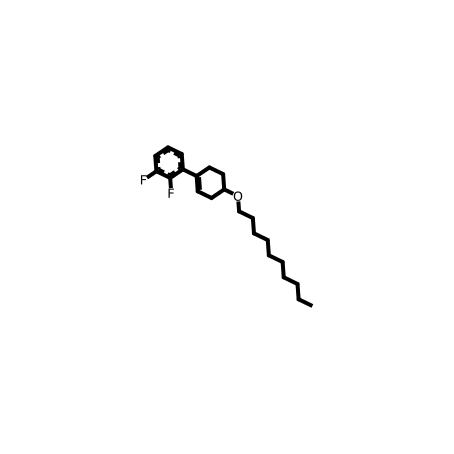 CCCCCCCCCCOC1CC=C(c2cccc(F)c2F)CC1